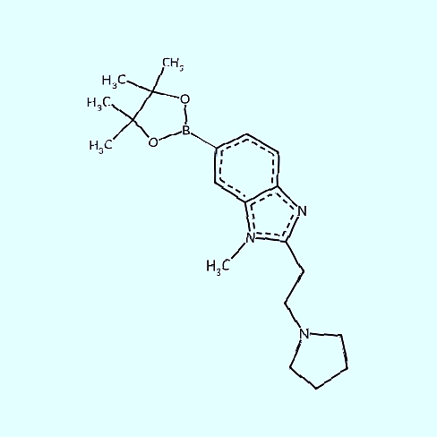 Cn1c(CCN2CCCC2)nc2ccc(B3OC(C)(C)C(C)(C)O3)cc21